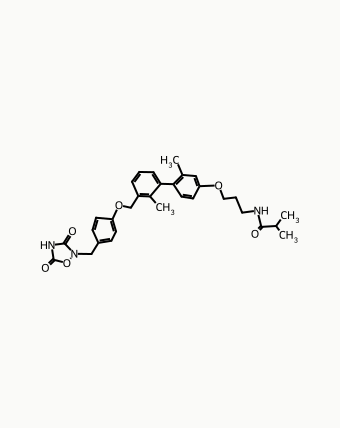 Cc1cc(OCCCNC(=O)C(C)C)ccc1-c1cccc(COc2ccc(Cn3oc(=O)[nH]c3=O)cc2)c1C